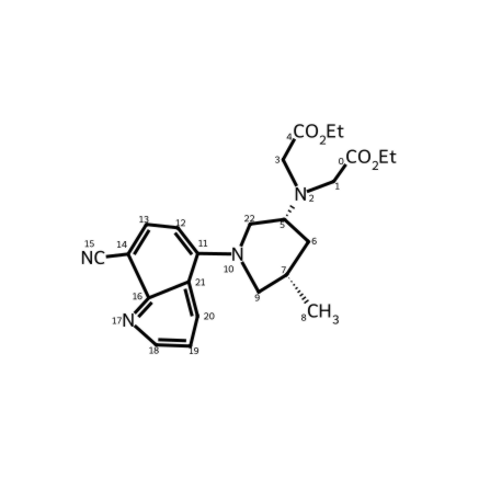 CCOC(=O)CN(CC(=O)OCC)[C@@H]1C[C@H](C)CN(c2ccc(C#N)c3ncccc23)C1